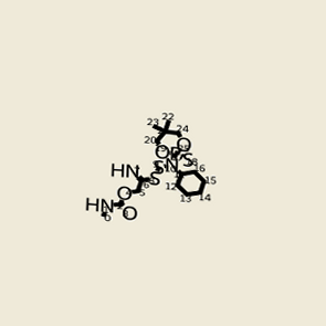 CNC(=O)OCC(=N)SSN(C1CCCCC1)P1(=S)OCC(C)(C)CO1